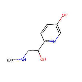 CC(C)(C)NCC(O)c1ccc(O)cn1